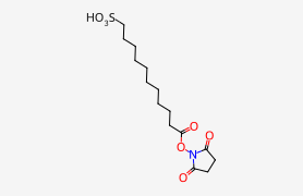 O=C(CCCCCCCCCCS(=O)(=O)O)ON1C(=O)CCC1=O